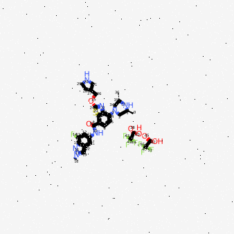 C[C@H]1CN(c2ccc(C(=O)Nc3cc(F)c4nn(C)cc4c3)c3sc(OCC4CCNC4)nc23)C[C@H](C)N1.O=C(O)C(F)(F)F.O=C(O)C(F)(F)F